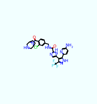 Nc1ccc(-c2[nH]nc(C(F)(F)F)c2-c2cnc(C(=O)NCc3ccc(C(=O)N4C5CCC4CNC5)c(Cl)c3)[nH]2)nc1